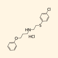 Cl.Clc1ccc(SCCNCCCOc2ccccc2)cc1